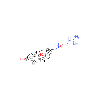 C[C@]12CC[C@H](O)C[C@H]1CC[C@@H]1[C@@H]2CC[C@]2(C)[C@@H](CCNOCCNC(=N)N)CC[C@]12O